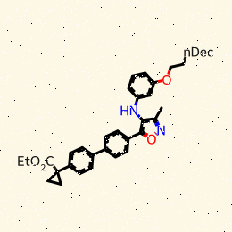 CCCCCCCCCCCCOc1cccc(Nc2c(C)noc2-c2ccc(-c3ccc(C4(C(=O)OCC)CC4)cc3)cc2)c1